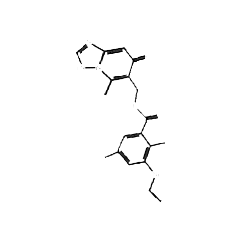 CCNc1cc(Cl)cc(C(=O)NCc2c(C)n3[nH]cnc3cc2=O)c1C